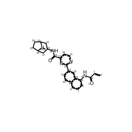 C=CC(=O)Nc1cccc2ccc(-c3nccc(C(=O)NC4CC5CCC(C4)N5C)n3)cc12